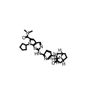 [2H]C([2H])([2H])N1[C@@H]2CC[C@H]1CN(c1ccc(Nc3ncc4cc(C(=O)N(C)C)n(C5CCCC5)c4n3)nc1)C(=O)C2